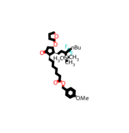 CCCCC(F)(F)C(CC[C@H]1[C@H](OC2CCCO2)CC(=O)[C@@H]1CCCCCCC(=O)OCc1ccc(OC)cc1)[Si](C)(C)C